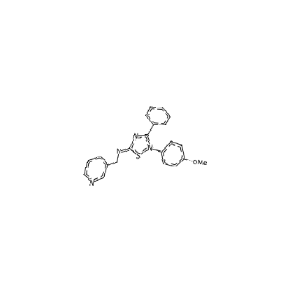 COc1ccc(-n2s/c(=N\Cc3cccnc3)nc2-c2ccccc2)cc1